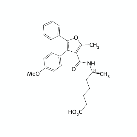 COc1ccc(-c2c(-c3ccccc3)oc(C)c2C(=O)N[C@@H](C)CCCCC(=O)O)cc1